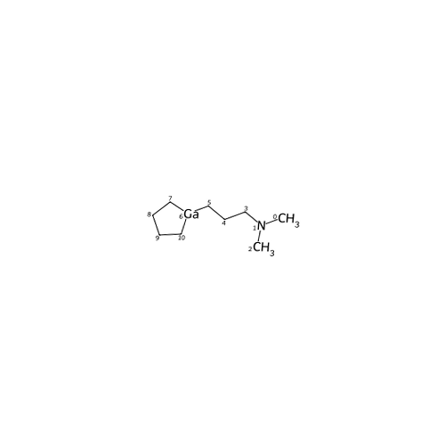 CN(C)CC[CH2][Ga]1[CH2]CC[CH2]1